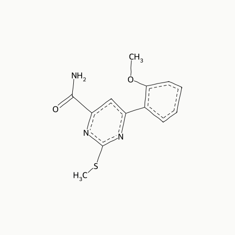 COc1ccccc1-c1cc(C(N)=O)nc(SC)n1